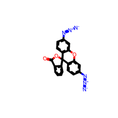 [N-]=[N+]=Nc1ccc2c(c1)Oc1cc(N=[N+]=[N-])ccc1C21OC(=O)c2ccccc21